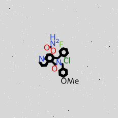 COc1ccc(CN2C(=O)c3c(c(OC(N)=O)cc4ncccc34)C2c2cc(F)ccc2Cl)cc1